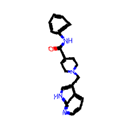 O=C(Nc1ccccc1)C1=CCN(Cc2c[nH]c3ncccc23)CC1